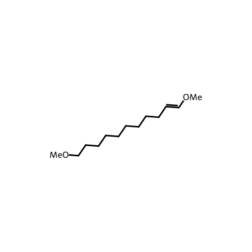 COC=CCCCCCCCCCOC